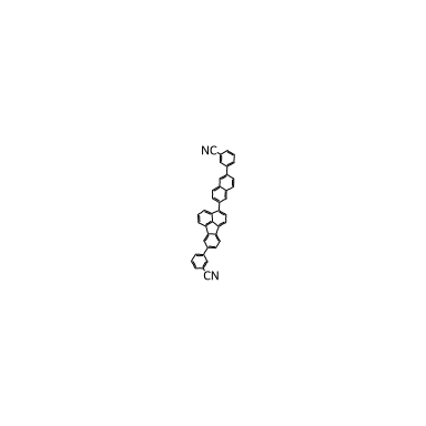 N#Cc1cccc(-c2ccc3c(c2)-c2cccc4c(-c5ccc6cc(-c7cccc(C#N)c7)ccc6c5)ccc-3c24)c1